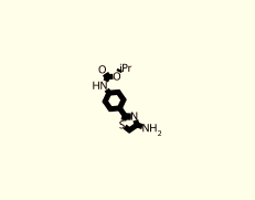 CC(C)OC(=O)NC1CCC(C2=NC(N)CS2)CC1